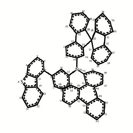 c1cc(-c2cccc3sc4ccccc4c23)cc(N(c2ccc3c(c2)C2(c4ccccc4-c4ccccc42)c2ccccc2-3)c2cccc3c4ccccc4c4ccccc4c23)c1